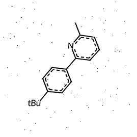 Cc1cccc(-c2ccc(C(C)(C)C)cc2)n1